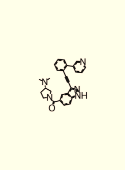 CN(C)[C@@H]1CCN(C(=O)c2ccc3[nH]nc(C#Cc4ccccc4-c4cccnc4)c3c2)C1